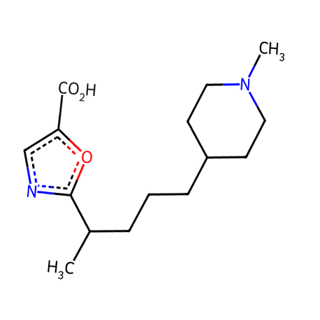 CC(CCCC1CCN(C)CC1)c1ncc(C(=O)O)o1